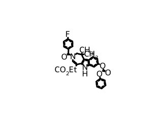 CCOC(=O)C1=CN(C(=O)c2ccc(F)cc2)CC(C)(C)c2c1[nH]c1cc(OC(=O)Oc3ccccc3)ccc21